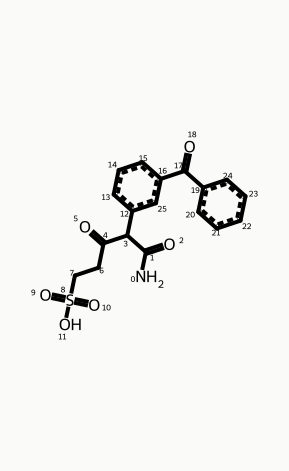 NC(=O)C(C(=O)CCS(=O)(=O)O)c1cccc(C(=O)c2ccccc2)c1